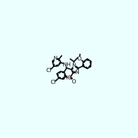 COc1ccccc1-c1nc(C(=O)O)c(C(Nc2cc(Cl)cnc2C)c2ccc(Cl)cc2C)n1C(C)C